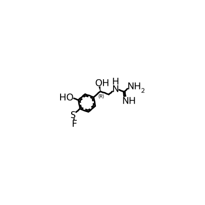 N=C(N)NC[C@H](O)c1ccc(SF)c(O)c1